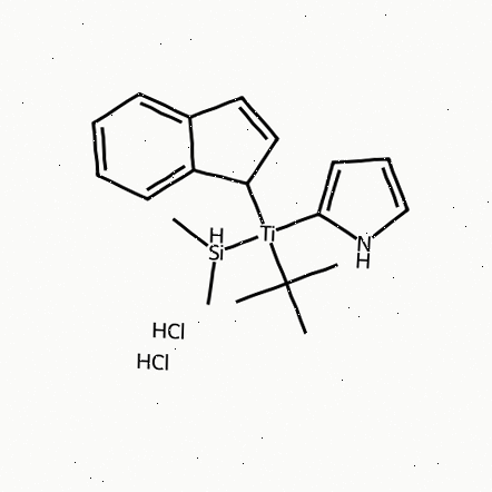 C[SiH](C)[Ti]([c]1ccc[nH]1)([CH]1C=Cc2ccccc21)[C](C)(C)C.Cl.Cl